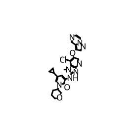 Cn1c(Nc2cc(C3CC3)cn(C3CCCOC3)c2=O)nc2ncc(Oc3cnn4ccncc34)c(Cl)c21